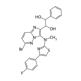 CN(c1nc(-c2ccc(F)cc2)cs1)c1c(C(O)C(O)c2ccccc2)nc2ccc(Br)nn12